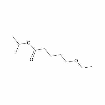 CCOCCCCC(=O)OC(C)C